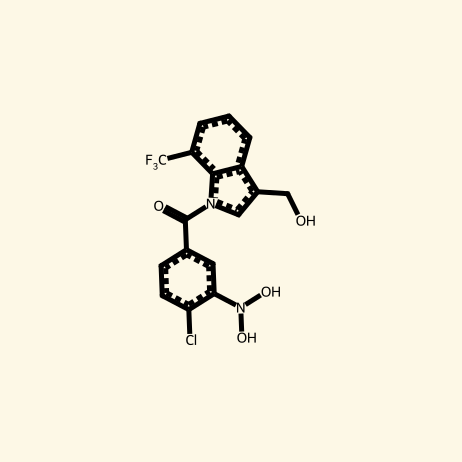 O=C(c1ccc(Cl)c(N(O)O)c1)n1cc(CO)c2cccc(C(F)(F)F)c21